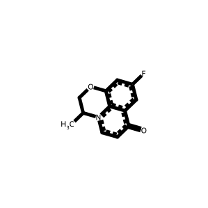 CC1COc2cc(F)cc3c(=O)ccn1c23